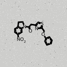 O=C(Cc1csc(COc2ccccc2)n1)N1CCc2ccc([N+](=O)[O-])cc21